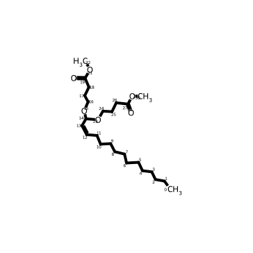 CCCCCCCCCCCC/C=C\C(OCCCC(=O)OC)OCCCC(=O)OC